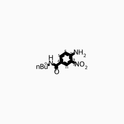 CCCCNC(=O)c1ccc(N)c([N+](=O)[O-])c1